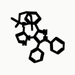 CC1(C)CCCC(C)(C)P1c1ccnn1-c1c(-c2ccccc2)nn(-c2ccccc2)c1-c1ccccc1